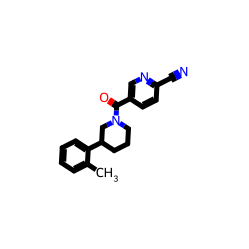 Cc1ccccc1C1CCCN(C(=O)c2ccc(C#N)nc2)C1